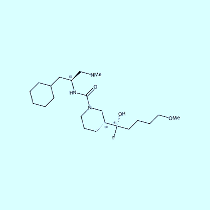 CNC[C@H](CC1CCCCC1)NC(=O)N1CCC[C@@H]([C@](O)(F)CCCCOC)C1